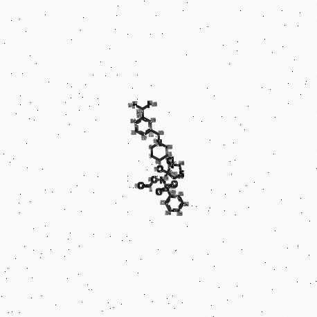 O=CON(C1(OC2CCN(Cc3cccc(C(F)F)c3)CC2)CSCN1Cl)S(=O)(=O)c1ccccc1